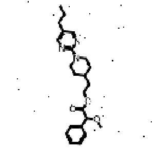 CCCc1cnc(N2CCC(CCOC(=O)C(OC)c3ccccc3)CC2)nc1